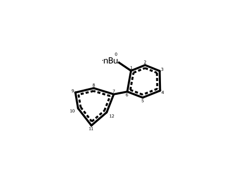 CCC[CH]c1ccccc1-c1ccccc1